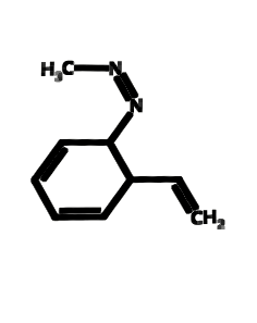 C=CC1C=CC=CC1/N=N\C